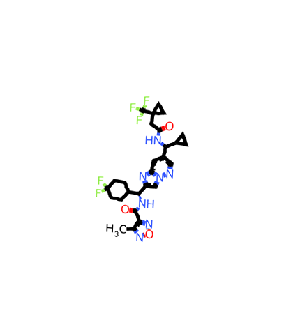 Cc1nonc1C(=O)N[C@H](c1cn2ncc(C(NC(=O)CC3(C(F)(F)F)CC3)C3CC3)cc2n1)C1CCC(F)(F)CC1